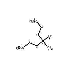 CCCCCCCCCCCCC(P)(CC)CCCCCCCCCCCC